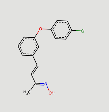 CC(C=Cc1cccc(Oc2ccc(Cl)cc2)c1)=NO